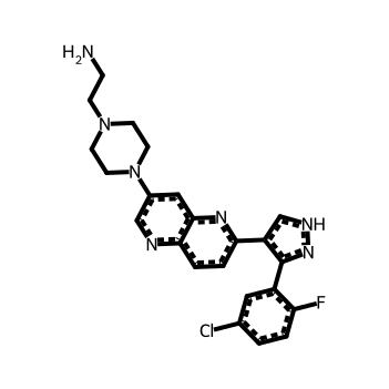 NCCN1CCN(c2cnc3ccc(-c4c[nH]nc4-c4cc(Cl)ccc4F)nc3c2)CC1